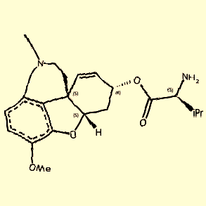 COc1ccc2c3c1O[C@H]1C[C@@H](OC(=O)[C@@H](N)C(C)C)C=C[C@@]31CCN(C)C2